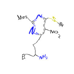 CCC(N)CCc1nc(SC)nc(SC(C)C)c1[N+](=O)[O-]